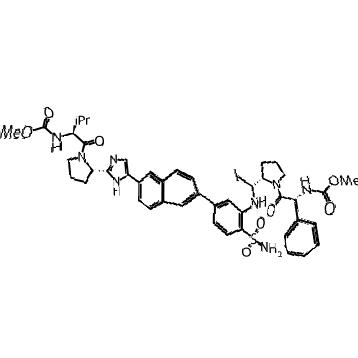 COC(=O)N[C@H](C(=O)N1CCC[C@H]1c1ncc(-c2ccc3cc(-c4ccc(S(N)(=O)=O)c(NC(I)[C@@H]5CCCN5C(=O)[C@H](NC(=O)OC)c5ccccc5)c4)ccc3c2)[nH]1)C(C)C